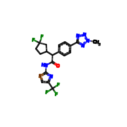 Cn1nnc(-c2ccc(C(C(=O)Nc3nc(C(F)(F)F)cs3)C3CCC(F)(F)C3)cc2)n1